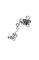 O=C(O)[C@H](CCOC1CC(CCc2ccc3c(n2)NCCC3)C1)NC(=O)[C@@H]1CCCCN1S(=O)(=O)c1ccccc1